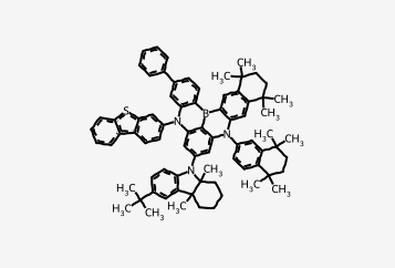 CC(C)(C)c1ccc2c(c1)C1(C)CCCCC1(C)N2c1cc2c3c(c1)N(c1ccc4c(c1)C(C)(C)CCC4(C)C)c1cc4c(cc1B3c1ccc(-c3ccccc3)cc1N2c1ccc2c(c1)sc1ccccc12)C(C)(C)CCC4(C)C